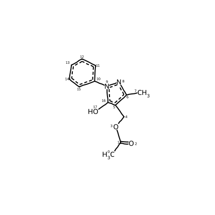 CC(=O)OCc1c(C)nn(-c2ccccc2)c1O